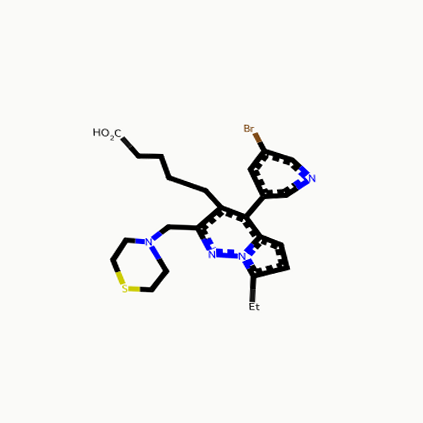 CCc1ccc2c(-c3cncc(Br)c3)c(CCCCC(=O)O)c(CN3CCSCC3)nn12